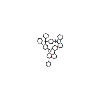 c1ccc(-c2ccc(N(c3ccc4c(c3)C(c3ccccc3)(c3ccc(-n5c6ccccc6c6ccccc65)cc3)c3ccccc3-4)c3ccccc3-c3ccccc3)cc2)cc1